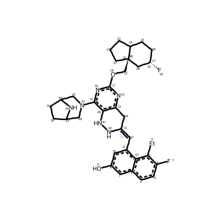 CCc1c(F)ccc2cc(O)cc(/C=C3/Cc4nc(OC[C@@]56CCCC5CC[C@H](F)C6)nc(N5CC6CCC(C5)N6)c4NN3)c12